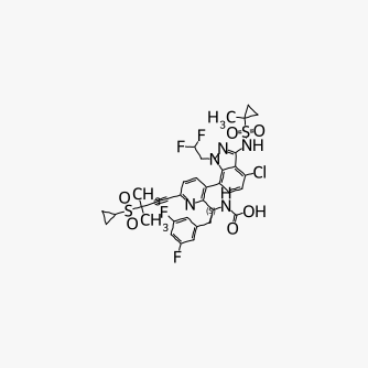 CC1(S(=O)(=O)Nc2nn(CC(F)F)c3c(-c4ccc(C#CC(C)(C)S(=O)(=O)C5CC5)nc4[C@H](Cc4cc(F)cc(F)c4)NC(=O)O)ccc(Cl)c23)CC1